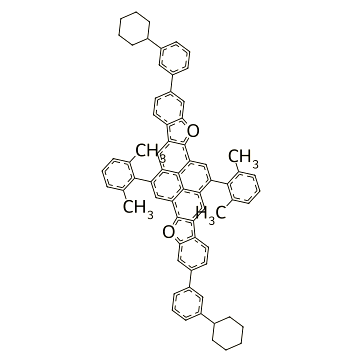 Cc1cccc(C)c1-c1cc2c3oc4cc(-c5cccc(C6CCCCC6)c5)ccc4c3cc3c(-c4c(C)cccc4C)cc4c5oc6cc(-c7cccc(C8CCCCC8)c7)ccc6c5cc1c4c32